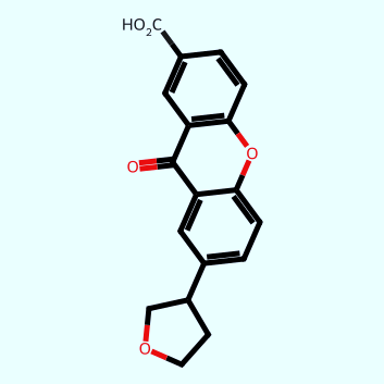 O=C(O)c1ccc2oc3ccc(C4CCOC4)cc3c(=O)c2c1